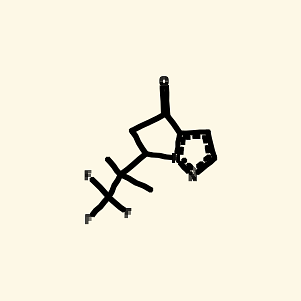 CC(C)(C1CC(=O)c2ccnn21)C(F)(F)F